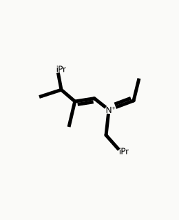 C/C=[N+](\C=C(/C)C(C)C(C)C)CC(C)C